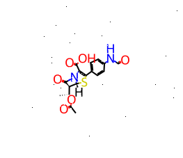 CC(=O)O[C@H](C)[C@H]1C(=O)N2C(C(=O)O)=C(c3ccc(NC=O)cc3)S[C@H]12